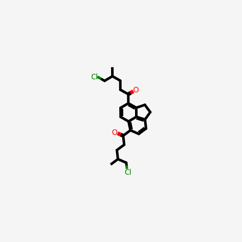 CC(CCl)CCC(=O)c1ccc2c(C(=O)CCC(C)CCl)ccc3c2c1CC3